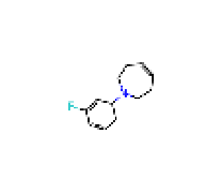 FC1=CC(N2CCC=CCC2)CC=C1